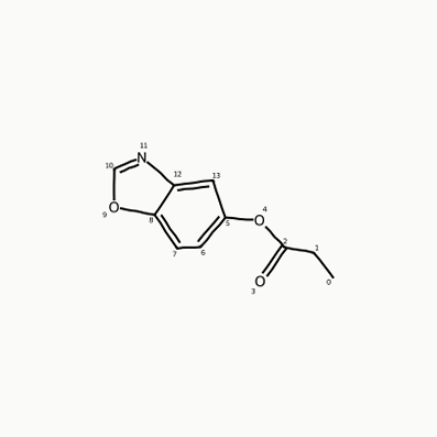 CCC(=O)Oc1ccc2ocnc2c1